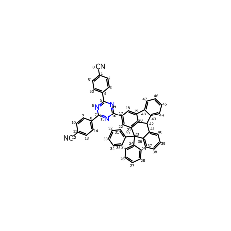 N#Cc1ccc(-c2nc(-c3ccc(C#N)cc3)nc(-c3cc4c5c(c3)C(c3ccccc3)(c3ccccc3)c3ccccc3C5c3ccccc3-4)n2)cc1